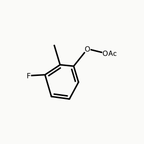 CC(=O)OOc1cccc(F)c1C